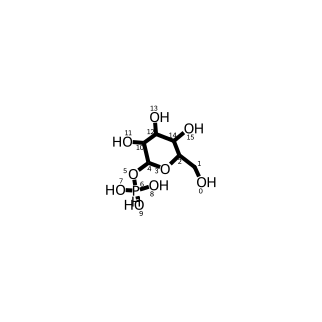 OCC1OC(O[PH](O)(O)O)C(O)C(O)C1O